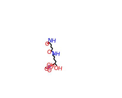 CNC(=O)CCCC(=O)NCCCCC(CO)COP(=O)(O)OC